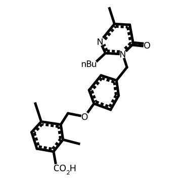 CCCCc1nc(C)cc(=O)n1Cc1ccc(OCc2c(C)ccc(C(=O)O)c2C)cc1